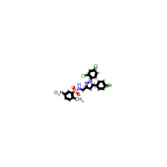 Cc1ccc([N+](=O)[O-])cc1S(=O)(=O)NCC1=NN(c2ccc(Cl)cc2Cl)C(c2ccc(Br)cc2)C1